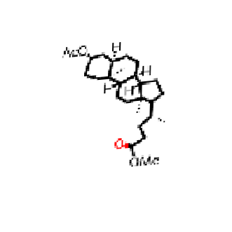 COC(=O)CC[C@@H](C)C1CC[C@H]2[C@@H]3CC[C@@H]4C[C@H](OC(C)=O)CC[C@]4(C)[C@H]3CC[C@]12C